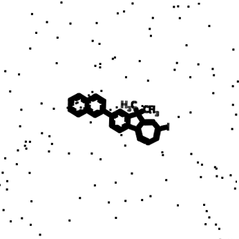 CC1(C)C2=CC(I)=CC=C=C2c2ccc(-c3ccc4ccccc4c3)cc21